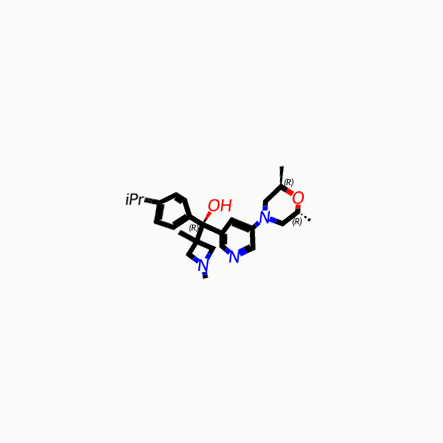 CC(C)c1ccc([C@](O)(c2cncc(N3C[C@@H](C)O[C@H](C)C3)c2)C2(C)CN(C)C2)cc1